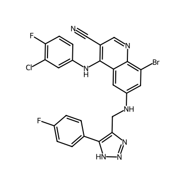 N#Cc1cnc2c(Br)cc(NCc3nn[nH]c3-c3ccc(F)cc3)cc2c1Nc1ccc(F)c(Cl)c1